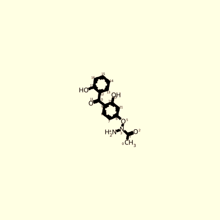 CC(=O)N(N)Oc1ccc(C(=O)c2ccccc2O)c(O)c1